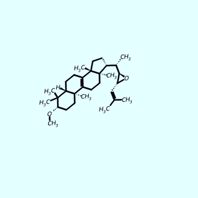 CO[C@H]1CC[C@]2(C)C3=C(CC[C@H]2C1(C)C)[C@]1(C)CC[C@H]([C@H](C)[C@H]2O[C@@H]2C=C(C)C)[C@@]1(C)CC3